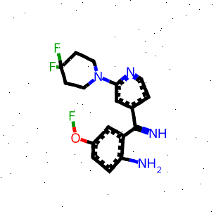 N=C(c1ccnc(N2CCC(F)(F)CC2)c1)c1cc(OF)ccc1N